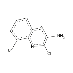 Nc1nc2cccc(Br)c2nc1Cl